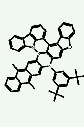 Cc1c2ccccc2c(C)c2cc3c(cc12)B1c2c(cc4oc5ccccc5c4c2-c2cccc4c5ccccc5n1c24)N3c1cc(C(C)(C)C)cc(C(C)(C)C)c1